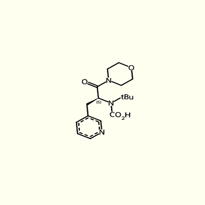 CC(C)(C)N(C(=O)O)[C@@H](Cc1cccnc1)C(=O)N1CCOCC1